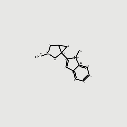 CCCN1CC2CC2(c2cc3ccccc3n2C)C1